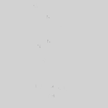 C[Si](C)(C)CCOCn1nc2c(-c3ccccc3)nc(Cl)cc2c1I